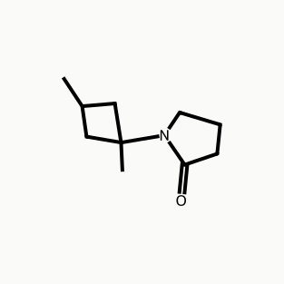 CC1CC(C)(N2CCCC2=O)C1